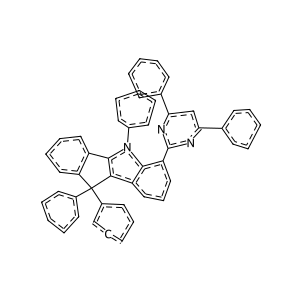 c1ccc(-c2cc(-c3ccccc3)nc(-c3cccc4c5c(n(-c6ccccc6)c34)-c3ccccc3C5(c3ccccc3)c3ccccc3)n2)cc1